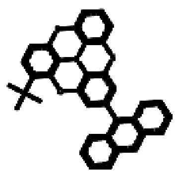 CC(C)(C)c1ccc2c3c1Oc1cc(-c4c5ccccc5cc5ccccc45)cc4c1B3c1c(cccc1S2)S4